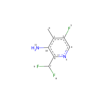 Cc1c(F)cnc(C(F)F)c1N